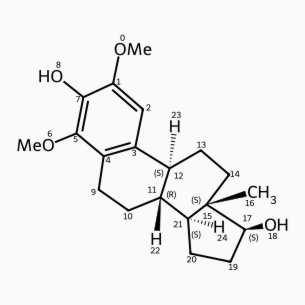 COc1cc2c(c(OC)c1O)CC[C@@H]1[C@@H]2CC[C@]2(C)[C@@H](O)CC[C@@H]12